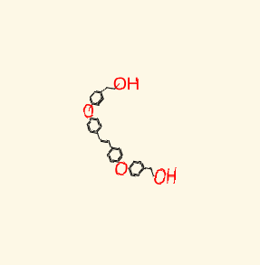 OCCc1ccc(Oc2ccc(/C=C/c3ccc(Oc4ccc(CCO)cc4)cc3)cc2)cc1